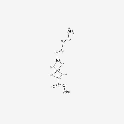 CC(C)(C)OC(=O)N1CC2(CN(CCCCN)C2)C1